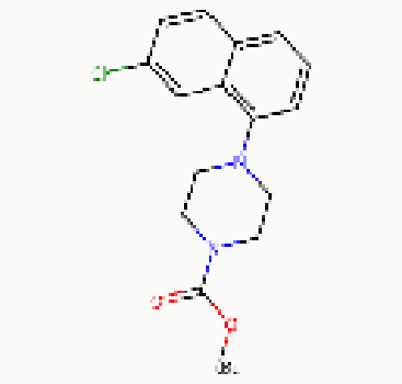 CC(C)(C)OC(=O)N1CCN(c2cccc3ccc(Cl)cc23)CC1